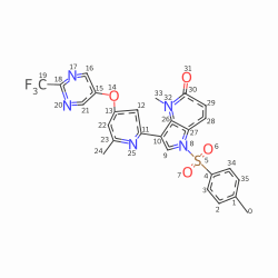 Cc1ccc(S(=O)(=O)n2cc(-c3cc(Oc4cnc(C(F)(F)F)nc4)cc(C)n3)c3c2ccc(=O)n3C)cc1